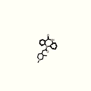 CC1CN(C)CCC1CC(=O)N1c2ccccc2NC(=O)c2ccccc21